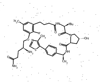 Cc1cc(CCCC(=O)N[C@H](C(=O)N2C[C@H](O)C[C@H]2C(=O)N[C@@H](C)c2ccc(-c3scnc3C)cc2)C(C)(C)C)c(F)c(OC[C@@H](N)CCC(N)=O)c1